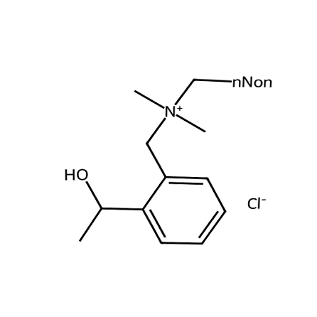 CCCCCCCCCC[N+](C)(C)Cc1ccccc1C(C)O.[Cl-]